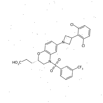 O=C(O)CC[C@H]1CN(S(=O)(=O)c2cccc(C(F)(F)F)c2)c2cc(N3CC(c4c(Cl)cccc4Cl)C3)ccc2O1